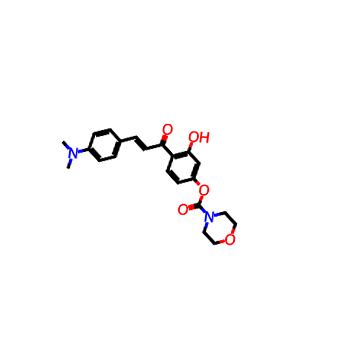 CN(C)c1ccc(/C=C/C(=O)c2ccc(OC(=O)N3CCOCC3)cc2O)cc1